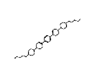 CCCCCC1CCC(C2CC=C(c3ccc(C4=CCC(C5CCC(CCCCC)CC5)CC4)cc3)CC2)CC1